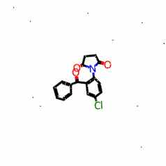 O=C(c1ccccc1)c1cc(Cl)ccc1N1C(=O)CCC1=O